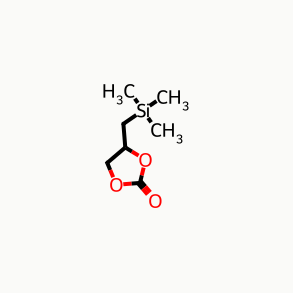 C[Si](C)(C)CC1COC(=O)O1